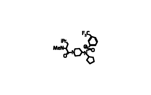 CNC(CC(C)C)C(=O)N1CCC(N(C2CCCC2)S(=O)(=O)c2cccc(C(F)(F)F)c2)CC1